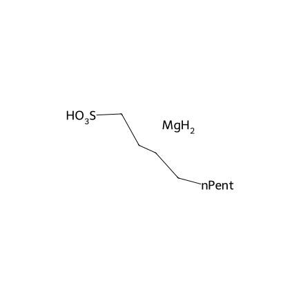 CCCCCCCCCS(=O)(=O)O.[MgH2]